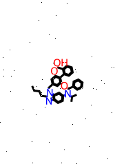 CCCCc1nc2ccc(N(C(=O)c3ccccc3)C(C)C)cc2n1Cc1ccc(-c2ccccc2C(=O)O)cc1